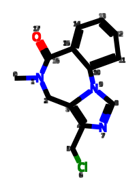 CN1Cc2c(CCl)ncn2-c2ccccc2C1=O